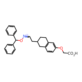 O=C(O)COc1ccc2c(c1)CCC(C/C=N\OC(c1ccccc1)c1ccccc1)C2